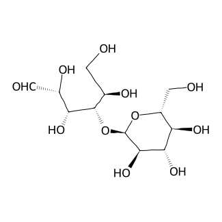 O=C[C@H](O)[C@@H](O)[C@@H](O[C@H]1O[C@H](CO)[C@@H](O)[C@H](O)[C@H]1O)[C@H](O)CO